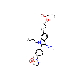 CCCn1c(-c2ccc(N3CCCS3(=O)=O)cc2)c(N)c2ccc(OCCOC(C)=O)cc21